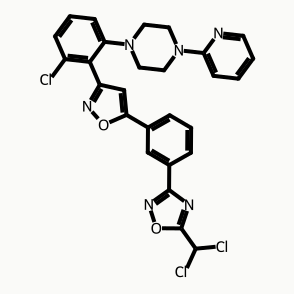 Clc1cccc(N2CCN(c3ccccn3)CC2)c1-c1cc(-c2cccc(-c3noc(C(Cl)Cl)n3)c2)on1